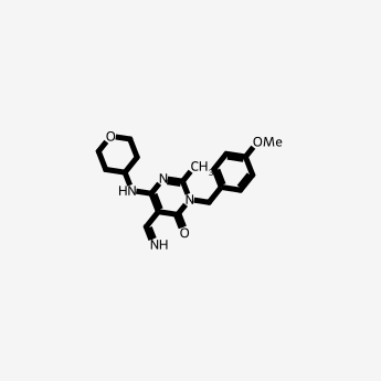 COc1ccc(Cn2c(C)nc(NC3CCOCC3)c(C=N)c2=O)cc1